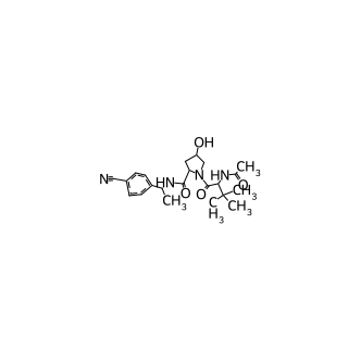 CC(=O)NC(C(=O)N1CC(O)CC1C(=O)NC(C)c1ccc(C#N)cc1)C(C)(C)C